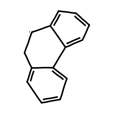 [C]1Cc2ccccc2-c2ccccc21